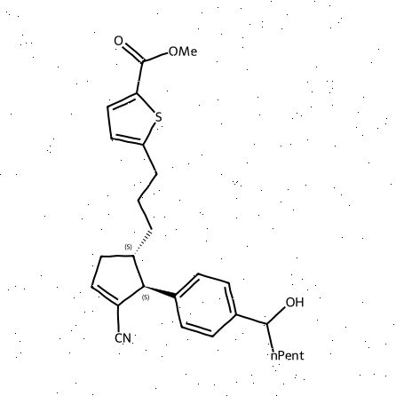 CCCCCC(O)c1ccc([C@H]2C(C#N)=CC[C@@H]2CCCc2ccc(C(=O)OC)s2)cc1